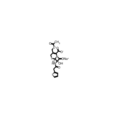 CC(=O)OCC1=C(C(=O)[O-])N2C(=O)[C@@](O)(NC(=O)Cc3cccs3)[C@H]2SC1.[Na+]